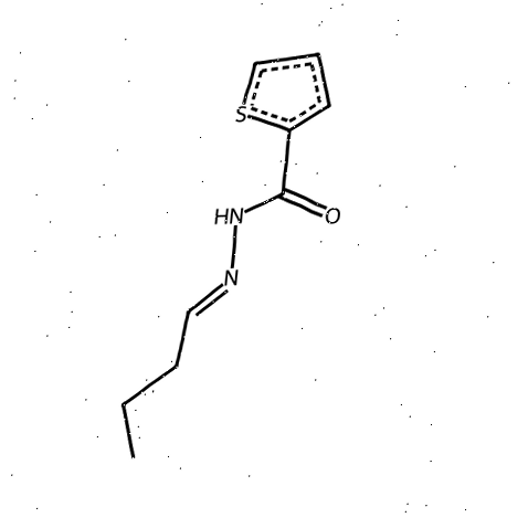 CCCC=NNC(=O)c1cccs1